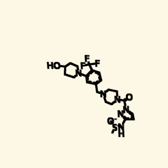 C[S+]([O-])Nc1ccn(C(=O)N2CCN(Cc3ccc(C(F)(F)F)c(N4CCC(O)CC4)c3)CC2)n1